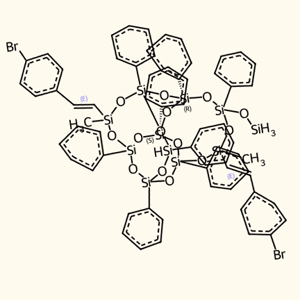 C[Si]1(/C=C/c2ccc(Br)cc2)O[Si](O[SiH3])(c2ccccc2)O[Si@]2(c3ccccc3)O[Si]3(c4ccccc4)O[SiH](c4ccccc4)O[Si]4(c5ccccc5)O[Si](c5ccccc5)(O1)O[Si@@](c1ccccc1)(O[Si](c1ccccc1)(O[Si](C)(/C=C/c1ccc(Br)cc1)O3)O4)O2